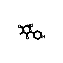 CN1C(=O)CCN(C2CCNCC2)C1=O.Cl